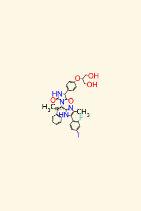 Cc1nc([C@H]([C@@H](C)c2ccccc2)N2C(=O)NC(c3ccc(OC(CO)CO)cc3)C2=O)[nH]c1-c1ccc(I)cc1F